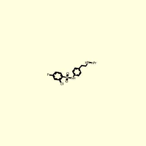 CCCNCCc1ccc(NS(=O)(=O)c2ccc(F)cc2Cl)cc1